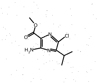 COC(=O)c1nc(Cl)c(C(C)C)nc1N